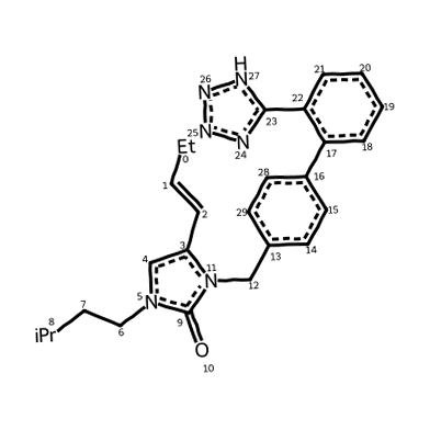 CC/C=C/c1cn(CCC(C)C)c(=O)n1Cc1ccc(-c2ccccc2-c2nnn[nH]2)cc1